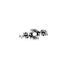 Nc1ncnc2c1ncn2[C@@H]1O[C@@H]2COP(=O)(S)O[C@H]3C[C@H]([n+]4c[nH]c5c(=O)[nH]cnc54)O[C@@H]3COP(=O)(O)O[C@H]2[C@H]1F